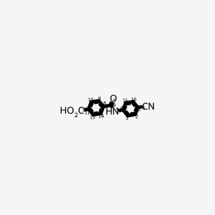 N#Cc1ccc(NC(=O)c2ccc(C(=O)O)cc2)cc1